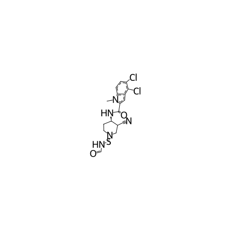 Cn1c(C(=O)N[C@@H]2CCN(SNC=O)CC2C#N)cc2c(Cl)c(Cl)ccc21